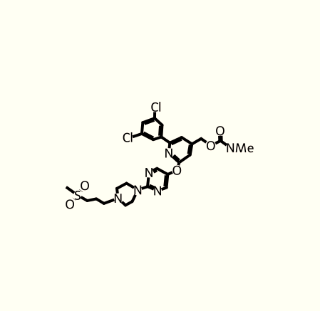 CNC(=O)OCc1cc(Oc2cnc(N3CCN(CCCS(C)(=O)=O)CC3)nc2)nc(-c2cc(Cl)cc(Cl)c2)c1